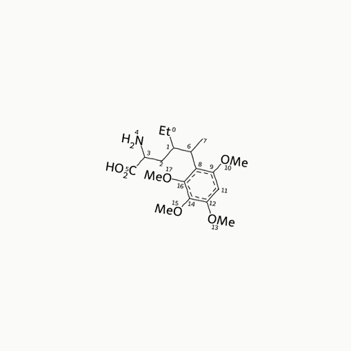 CCC(CC(N)C(=O)O)C(C)c1c(OC)cc(OC)c(OC)c1OC